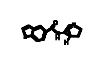 O=C(N[C@H]1CN2CC[C@H]1C2)c1ccc2sccc2c1